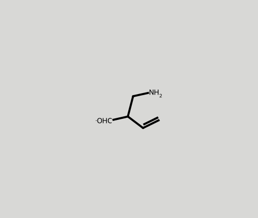 C=CC([C]=O)CN